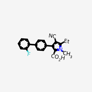 CCc1c(C#N)c(-c2ccc(-c3ccccc3F)cc2)c(C(=O)O)n1C